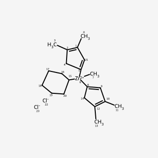 CC1=C(C)C[C]([Zr+2]([CH3])([C]2=CC(C)=C(C)C2)[CH]2CCCCC2)=C1.[Cl-].[Cl-]